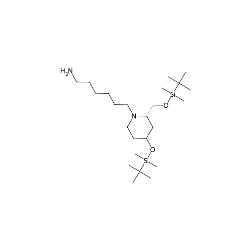 CC(C)(C)[Si](C)(C)OC[C@@H]1CC(O[Si](C)(C)C(C)(C)C)CCN1CCCCCCN